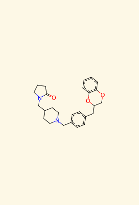 O=C1CCCN1CC1CCN(Cc2ccc(CC3COc4ccccc4O3)cc2)CC1